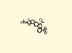 CC(=O)Nc1cc2c(cc1-c1cccc([N+](=O)[O-])c1)-c1nc(NI)sc1C2